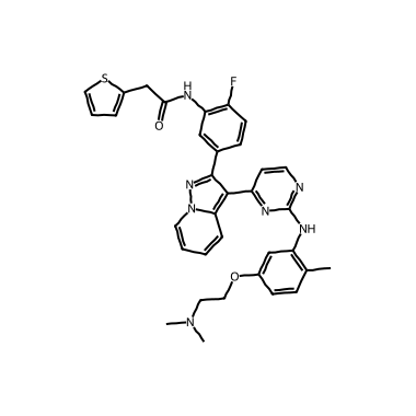 Cc1ccc(OCCN(C)C)cc1Nc1nccc(-c2c(-c3ccc(F)c(NC(=O)Cc4cccs4)c3)nn3ccccc23)n1